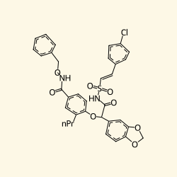 CCCc1cc(C(=O)NOCc2ccccc2)ccc1OC(C(=O)NS(=O)(=O)/C=C/c1ccc(Cl)cc1)c1ccc2c(c1)OCO2